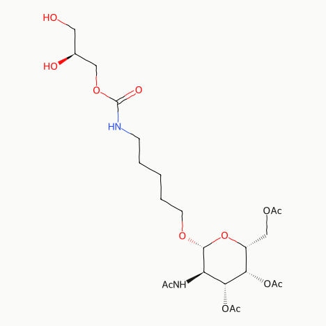 CC(=O)N[C@H]1[C@H](OCCCCCNC(=O)OC[C@@H](O)CO)O[C@H](COC(C)=O)[C@H](OC(C)=O)[C@@H]1OC(C)=O